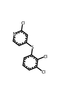 Clc1cc(Sc2cccc(Cl)c2Cl)ccn1